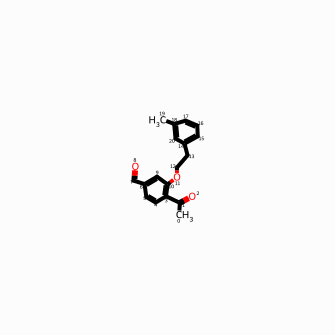 CC(=O)c1ccc(C=O)cc1OCCc1cccc(C)c1